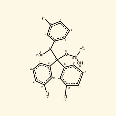 CCCCC(c1cccc(Cl)c1)C(OB(O)O)(c1cccc(Cl)c1)c1cccc(Cl)c1